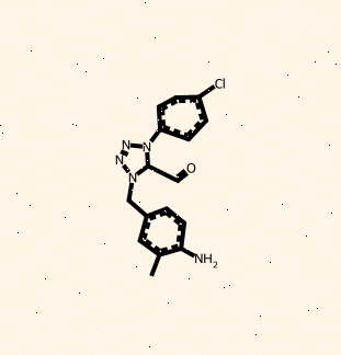 Cc1cc(CN2N=NN(c3ccc(Cl)cc3)C2C=O)ccc1N